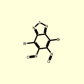 O=Nc1c(N=O)c(Br)c2nsnc2c1Br